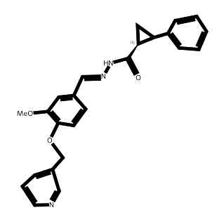 COc1cc(C=NNC(=O)[C@H]2CC2c2ccccc2)ccc1OCc1cccnc1